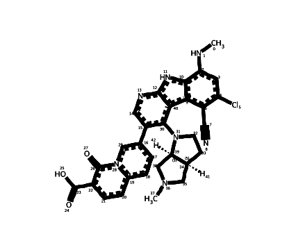 CNc1cc(Cl)c(C#N)c2c1[nH]c1ncc(-c3ccc4ccc(C(=O)O)c(=O)n4c3)c(N3CC[C@H]4CN(C)C[C@H]43)c12